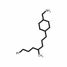 CC(C)CCCC(C)CCCC1CCC(CN)CC1